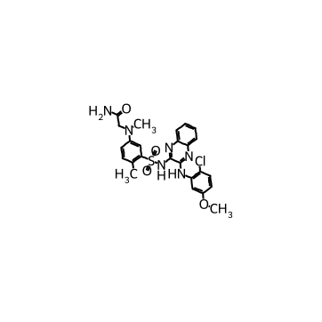 COc1ccc(Cl)c(Nc2nc3ccccc3nc2NS(=O)(=O)c2cc(N(C)CC(N)=O)ccc2C)c1